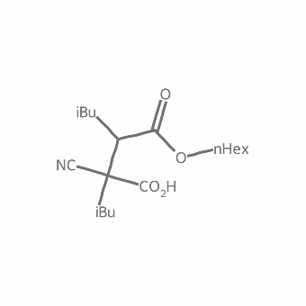 CCCCCCOC(=O)C(C(C)CC)C(C#N)(C(=O)O)C(C)CC